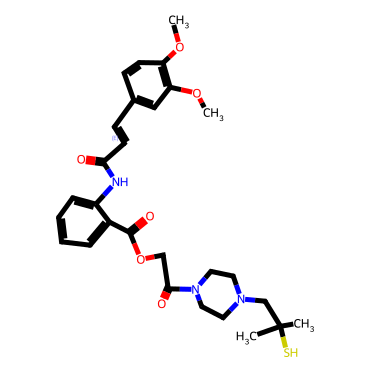 COc1ccc(/C=C/C(=O)Nc2ccccc2C(=O)OCC(=O)N2CCN(CC(C)(C)S)CC2)cc1OC